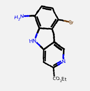 CCOC(=O)c1cc2[nH]c3c(N)ccc(Br)c3c2cn1